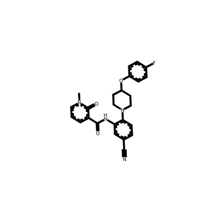 Cn1cccc(C(=O)Nc2cc(C#N)ccc2N2CCC(Oc3ccc(F)cc3)CC2)c1=O